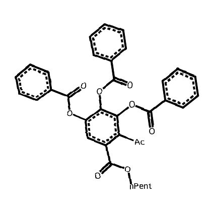 CCCCCOC(=O)c1cc(OC(=O)c2ccccc2)c(OC(=O)c2ccccc2)c(OC(=O)c2ccccc2)c1C(C)=O